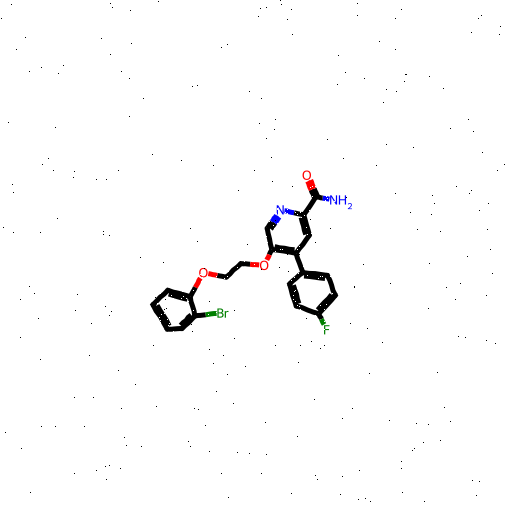 NC(=O)c1cc(-c2ccc(F)cc2)c(OCCOc2ccccc2Br)cn1